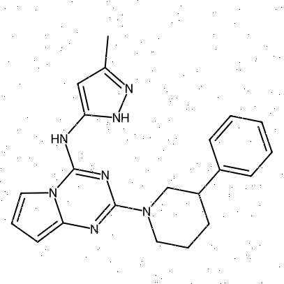 Cc1cc(Nc2nc(N3CCCC(c4ccccc4)C3)nc3cccn23)[nH]n1